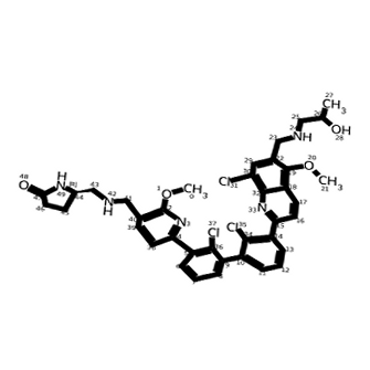 COc1nc(-c2cccc(-c3cccc(-c4ccc5c(OC)c(CNCC(C)O)cc(Cl)c5n4)c3Cl)c2Cl)ccc1CNC[C@H]1CCC(=O)N1